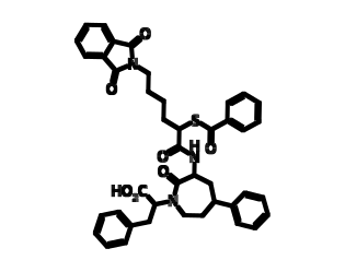 O=C(SC(CCCCN1C(=O)c2ccccc2C1=O)C(=O)NC1CC(c2ccccc2)CCN(C(Cc2ccccc2)C(=O)O)C1=O)c1ccccc1